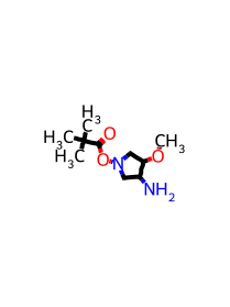 COC1CN(OC(=O)C(C)(C)C)CC1N